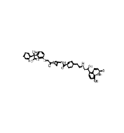 O=C(NC1CN(C(=O)COc2cccc(C(O)(C(=O)O)c3ccccc3)c2)C1)c1ccc(CCNCC(O)c2ccc(O)c3[nH]c(=O)ccc23)cc1